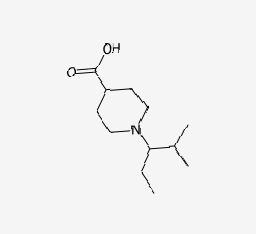 CCC(C(C)C)N1CCC(C(=O)O)CC1